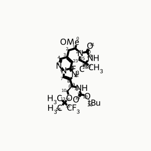 COC(Cc1cnn2cc([C@H](COC(C)(C)C(F)(F)F)NC(=O)OC(C)(C)C)nc2c1)N1C[C@@](C)(C(F)(F)F)NC1=O